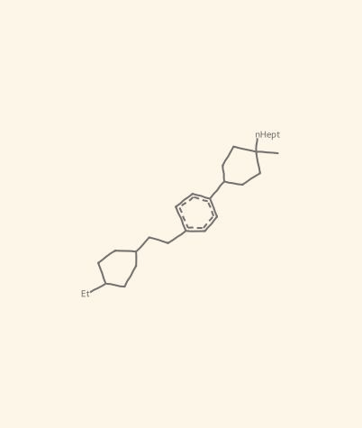 CCCCCCCC1(C)CCC(c2ccc(CCC3CCC(CC)CC3)cc2)CC1